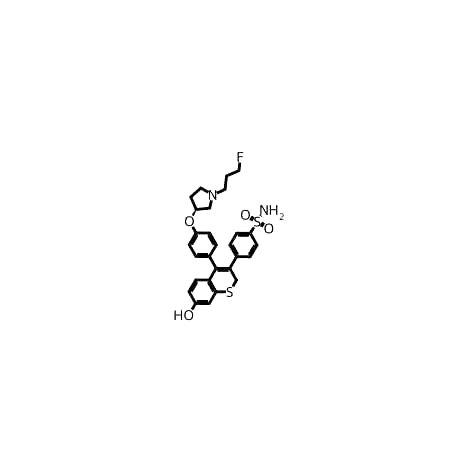 NS(=O)(=O)c1ccc(C2=C(c3ccc(O[C@H]4CCN(CCCF)C4)cc3)c3ccc(O)cc3SC2)cc1